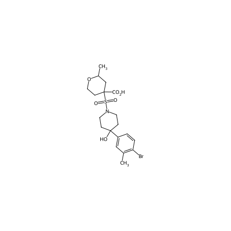 Cc1cc(C2(O)CCN(S(=O)(=O)C3(C(=O)O)CCOC(C)C3)CC2)ccc1Br